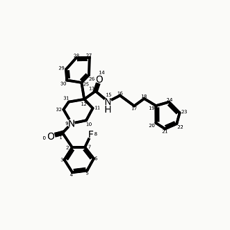 O=C(c1ccccc1F)N1CCC(C(=O)NCCCc2ccccc2)(c2ccccc2)CC1